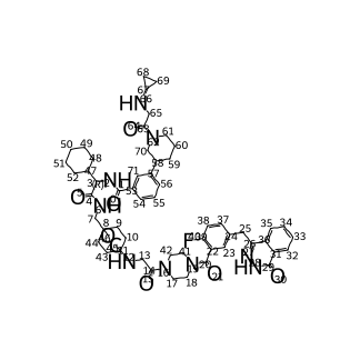 O=C(N[C@@H](C(=O)NCC12CCC(NCC(=O)N3CCN(C(=O)c4cc(Cc5n[nH]c(=O)c6ccccc56)ccc4F)CC3)(CC1)CO2)C1CCCCC1)c1cccc(C2CCCN(C(=O)CNC3CC3)C2)c1